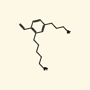 C=Cc1ccc(CCCBr)cc1CCCCCC(C)C